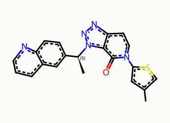 Cc1csc(-n2ccc3nnn([C@@H](C)c4ccc5ncccc5c4)c3c2=O)c1